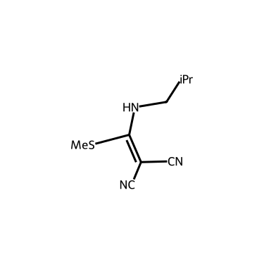 CSC(NCC(C)C)=C(C#N)C#N